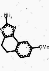 COc1ccc2c(c1)-c1nc(N)sc1CC2